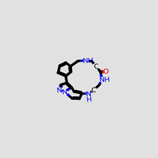 O=C1CCNCc2cccc(c2)-c2cnn3ccc(cc23)NCCN1